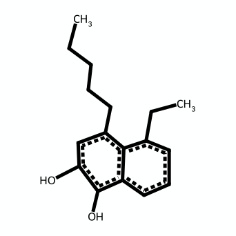 CCCCCc1cc(O)c(O)c2cccc(CC)c12